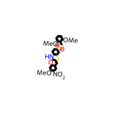 COc1ccc(/C=C2/Sc3cc(S(=O)(=O)Cc4c(OC)cccc4OC)ccc3NC2=O)cc1[N+](=O)[O-]